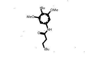 COc1cc(NC(=O)CCC(C)(C)C)cc(OC)c1C(C)(C)C